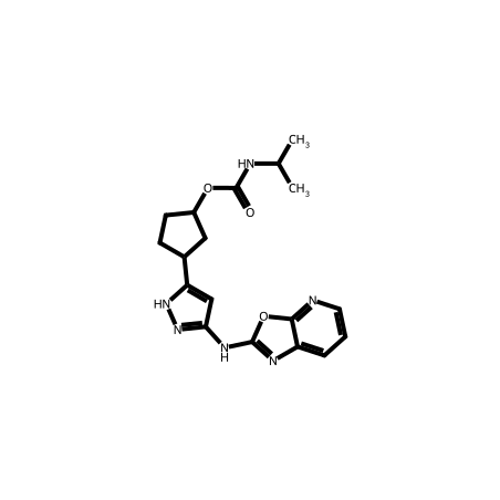 CC(C)NC(=O)OC1CCC(c2cc(Nc3nc4cccnc4o3)n[nH]2)C1